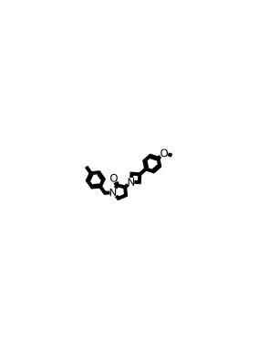 COc1ccc(C2CN(C3CCN(Cc4ccc(C)cc4)C3=O)C2)cc1